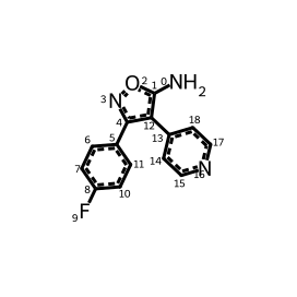 Nc1onc(-c2ccc(F)cc2)c1-c1ccncc1